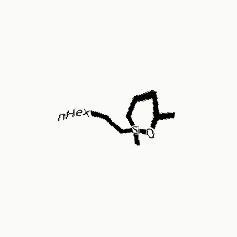 CCCCCCCC[Si]1(C)CCCC(C)O1